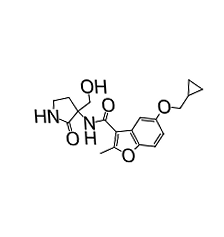 Cc1oc2ccc(OCC3CC3)cc2c1C(=O)NC1(CO)CCNC1=O